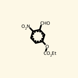 CCOC(=O)Oc1ccc([N+](=O)[O-])c(C=O)c1